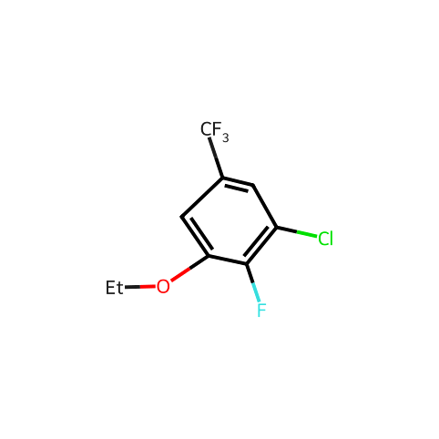 CCOc1cc(C(F)(F)F)cc(Cl)c1F